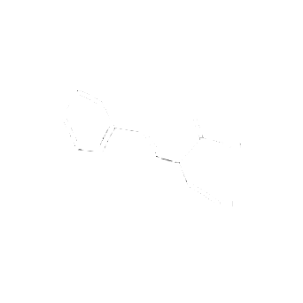 C=CC(C=Cc1ccccc1)C(=O)O